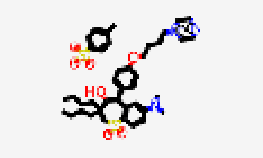 CCCCC1(CCCC)CS(=O)(=O)c2ccc(N(C)C)cc2C(c2ccc(OCCCC[N+]34CCN(CC3)CC4)cc2)C1O.Cc1ccc(S(=O)(=O)[O-])cc1